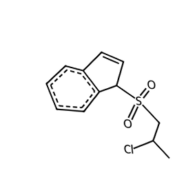 CC(Cl)CS(=O)(=O)C1C=Cc2ccccc21